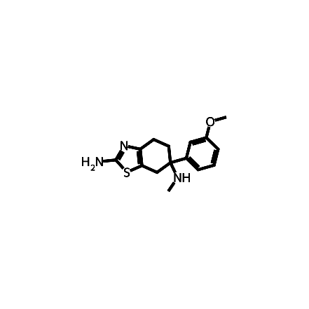 CNC1(c2cccc(OC)c2)CCc2nc(N)sc2C1